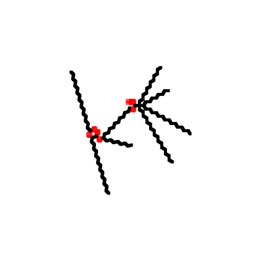 CCCCCCCCCCCCCCCCCC(=O)OC(CCCCCCCCCCCCCCCC)C(=O)OC(CCCCCCCC)CCCCCCCCCCC.CCCCCCCCCCCCCCCCCCC(CCCCCCCCCCCC)(C(=O)O)C(CCCCCCCC)CCCCCCCCCCCCCCC